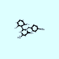 CC(C)(C)c1ccc(Cn2c(-c3c(F)cccc3F)nc(O)cc2=O)cc1